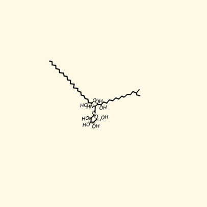 CCCCCCCCCCCCCCCCCCCCCCC(O)C(=O)NC(CO[C@H]1O[C@H](CO)[C@H](O)[C@H](O)[C@H]1O)C(O)C(O)CCCCCCCCCCCC(C)CC